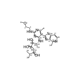 COCCNc1nc(C)c(-c2nc3c(C)nccc3s2)c(N[C@@H]2C[C@H]([C@@H](O)C(C)C)[C@@H](O)[C@H]2O)n1